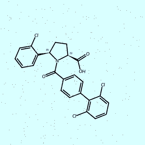 O=C(O)[C@@H]1CC[C@H](c2ccccc2Cl)N1C(=O)c1ccc(-c2c(Cl)cccc2Cl)cc1